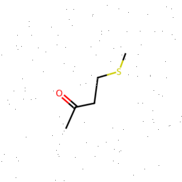 CSCCC(C)=O